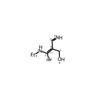 CCN/C(Br)=C(\C=N)CO